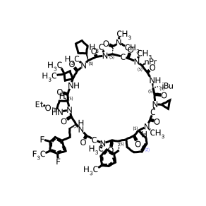 CCC[C@H]1C(=O)N[C@@H]([C@@H](C)CC)C(=O)N(C2CC2)CC(=O)N(C)[C@H]2C/C=C\CCC(C2=O)[C@H](Cc2ccc(C)cc2)C(=O)N(C)CC(=O)N[C@@H](CCc2cc(F)c(C(F)(F)F)c(F)c2)C(=O)N2N[C@H](OCC)C[C@H]2C(=O)NC2(CC(C)(C)C2)C(=O)N(C)[C@@H](C2CCCC2)C(=O)N(C)[C@H](C(=O)N(C)C)CC(=O)N1C